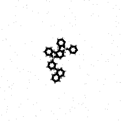 c1ccc(-n2c3ccccc3c3c4c5ccccc5n(-c5cccc(-c6cccc7ccccc67)c5)c4ccc32)cc1